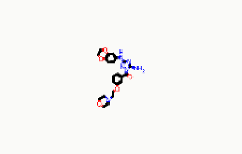 Nc1nc(Nc2ccc3c(c2)OCCO3)nn1C(=O)c1cccc(OCCN2CCOCC2)c1